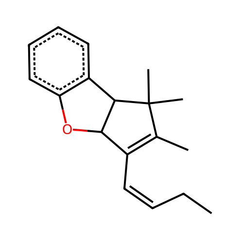 CC/C=C\C1=C(C)C(C)(C)C2c3ccccc3OC12